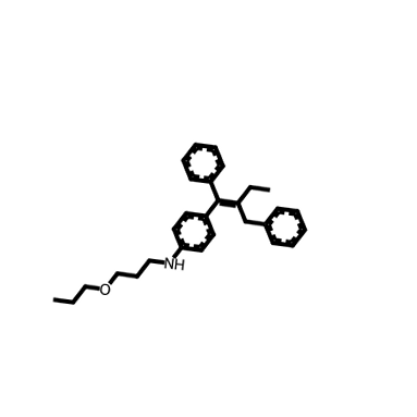 CCCOCCCNc1ccc(/C(=C(/CC)Cc2ccccc2)c2ccccc2)cc1